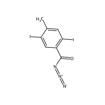 Cc1cc(I)c(C(=O)N=[N+]=[N-])cc1I